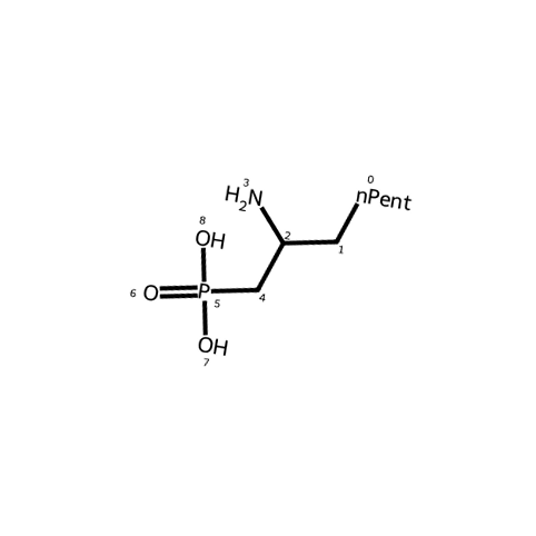 CCCCCCC(N)CP(=O)(O)O